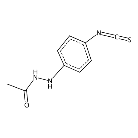 CC(=O)NNc1ccc(N=C=S)cc1